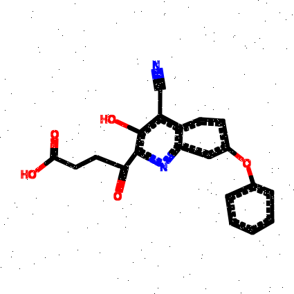 N#Cc1c(O)c(C(=O)CCC(=O)O)nc2cc(Oc3ccccc3)ccc12